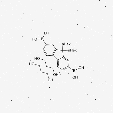 CCCCCCC1(CCCCCC)c2cc(B(O)O)ccc2-c2ccc(B(O)O)cc21.OCCCO.OCCCO